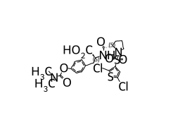 CN(C)C(=O)Oc1ccc(C[C@H](NC(=O)[C@@H]2CCCN2S(=O)(=O)c2cc(Cl)sc2Cl)C(=O)O)cc1